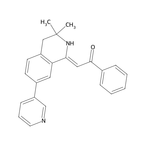 CC1(C)Cc2ccc(-c3cccnc3)cc2C(=CC(=O)c2ccccc2)N1